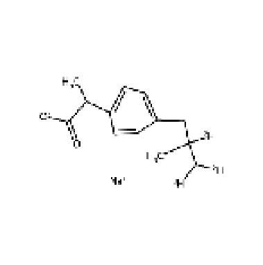 [2H]C([2H])C([2H])(C)Cc1ccc(C(C)C(=O)[O-])cc1.[Na+]